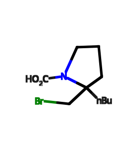 CCCCC1(CBr)CCCN1C(=O)O